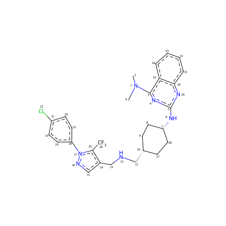 CN(C)c1nc(N[C@H]2CC[C@@H](CNCc3cnn(-c4ccc(Cl)cc4)c3C(F)(F)F)CC2)nc2ccccc12